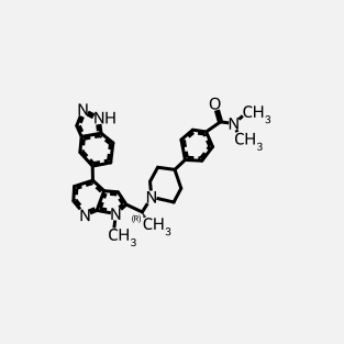 C[C@H](c1cc2c(-c3ccc4[nH]ncc4c3)ccnc2n1C)N1CCC(c2ccc(C(=O)N(C)C)cc2)CC1